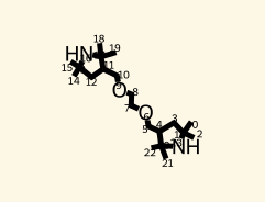 CC1(C)CC(COCCOCC2CC(C)(C)NC2(C)C)C(C)(C)N1